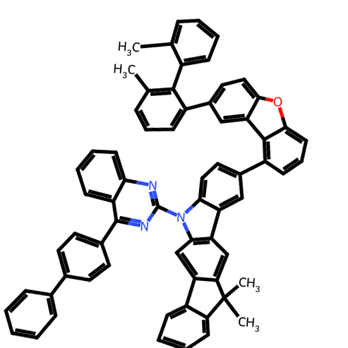 Cc1ccccc1-c1c(C)cccc1-c1ccc2oc3cccc(-c4ccc5c(c4)c4cc6c(cc4n5-c4nc(-c5ccc(-c7ccccc7)cc5)c5ccccc5n4)-c4ccccc4C6(C)C)c3c2c1